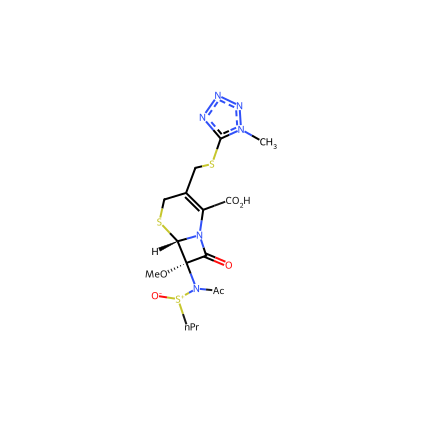 CCC[S+]([O-])N(C(C)=O)[C@]1(OC)C(=O)N2C(C(=O)O)=C(CSc3nnnn3C)CS[C@H]21